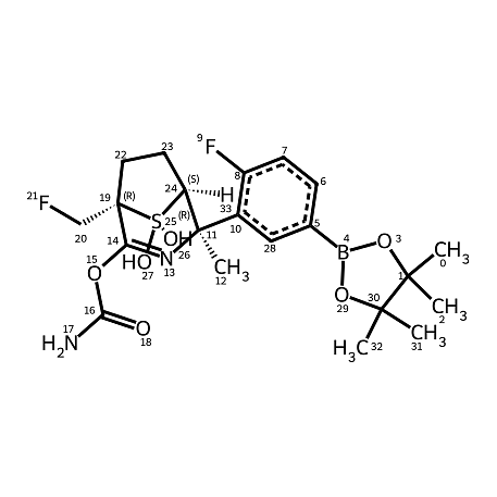 CC1(C)OB(c2ccc(F)c([C@@]3(C)N=C(OC(N)=O)[C@@]4(CF)CC[C@@H]3S4(O)O)c2)OC1(C)C